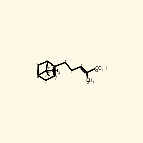 CC(=CCCC1=CCC2CC1C2(C)C)C(=O)O